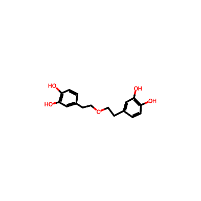 Oc1ccc(CCOCCc2ccc(O)c(O)c2)cc1O